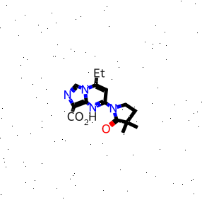 CCc1cc(N2CCC(C)(C)C2=O)nc2c(C(=O)O)ncn12